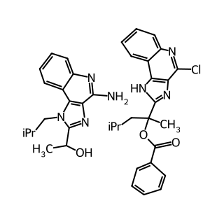 CC(C)CC(C)(OC(=O)c1ccccc1)c1nc2c(Cl)nc3ccccc3c2[nH]1.CC(C)Cn1c(C(C)O)nc2c(N)nc3ccccc3c21